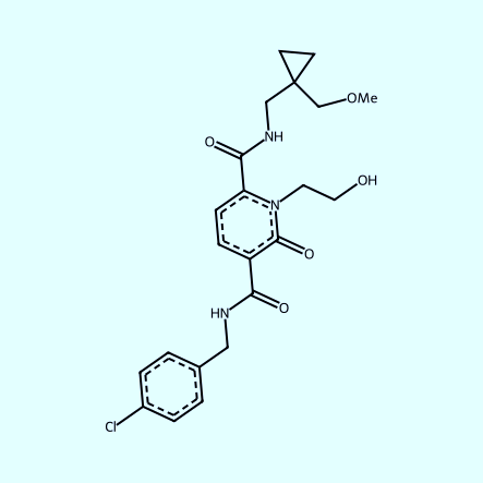 COCC1(CNC(=O)c2ccc(C(=O)NCc3ccc(Cl)cc3)c(=O)n2CCO)CC1